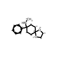 CNC1(c2ccccc2)CCC2(CC1)OCCO2